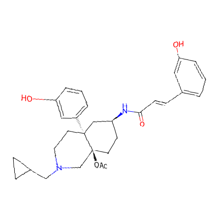 CC(=O)O[C@]12CC[C@H](NC(=O)C=Cc3cccc(O)c3)C[C@]1(c1cccc(O)c1)CCN(CC1CC1)C2